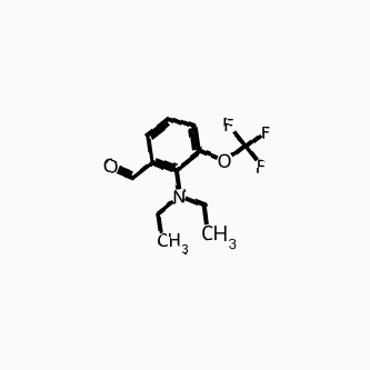 CCN(CC)c1c(C=O)cccc1OC(F)(F)F